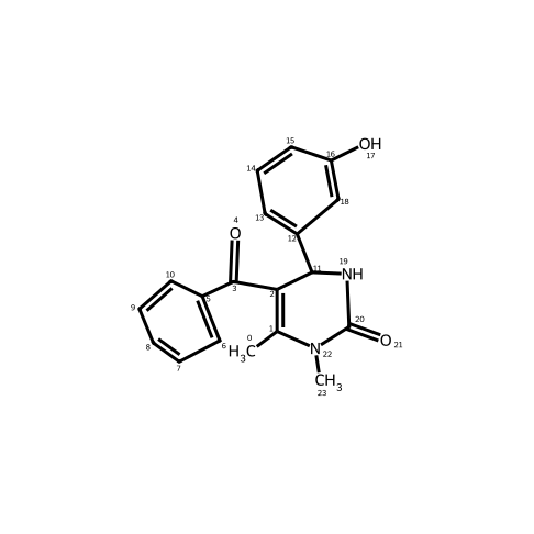 CC1=C(C(=O)c2ccccc2)C(c2cccc(O)c2)NC(=O)N1C